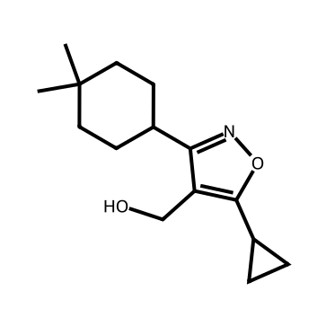 CC1(C)CCC(c2noc(C3CC3)c2CO)CC1